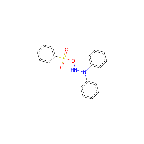 O=S(=O)(ONN(c1ccccc1)c1ccccc1)c1ccccc1